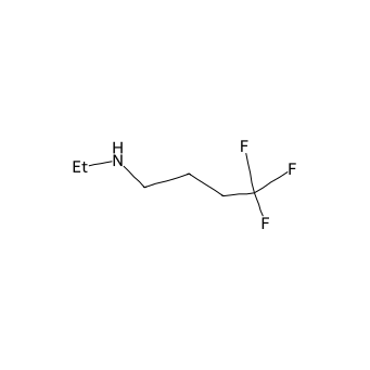 CCNCCCC(F)(F)F